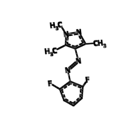 Cc1nn(C)c(C)c1N=Nc1c(F)cccc1F